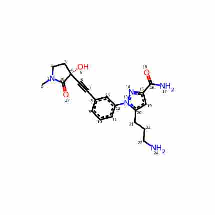 CN1CC[C@@](O)(C#Cc2cccc(-n3nc(C(N)=O)cc3CCCN)c2)C1=O